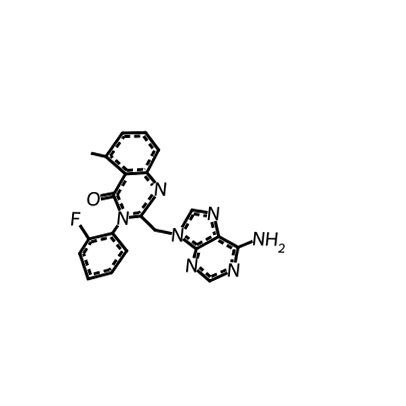 Cc1cccc2nc(Cn3cnc4c(N)ncnc43)n(-c3ccccc3F)c(=O)c12